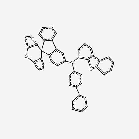 c1ccc(-c2ccc(N(c3ccc4c(c3)-c3ccccc3C43c4ccccc4Oc4ccccc43)c3cccc4c3oc3ccccc34)cc2)cc1